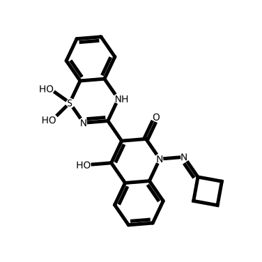 O=c1c(C2=NS(O)(O)c3ccccc3N2)c(O)c2ccccc2n1N=C1CCC1